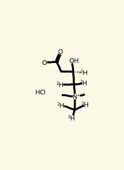 Cl.[2H]C([2H])([2H])[N+](C)(C)C([2H])([2H])[C@]([2H])(O)CC(=O)[O-]